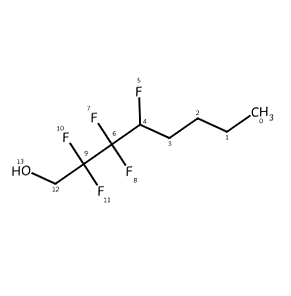 CCCCC(F)C(F)(F)C(F)(F)CO